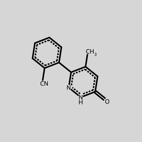 Cc1cc(=O)[nH]nc1-c1ccccc1C#N